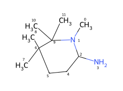 CN1C(N)CCC(C)(C)C1(C)C